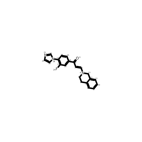 O=C(/C=C/N1CCc2ccccc2C1)c1ccc(-n2ccnc2)c(F)c1